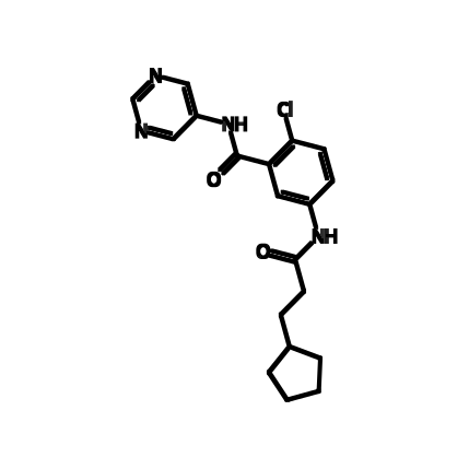 O=C(CCC1CCCC1)Nc1ccc(Cl)c(C(=O)Nc2cncnc2)c1